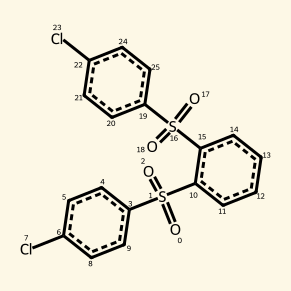 O=S(=O)(c1ccc(Cl)cc1)c1ccccc1S(=O)(=O)c1ccc(Cl)cc1